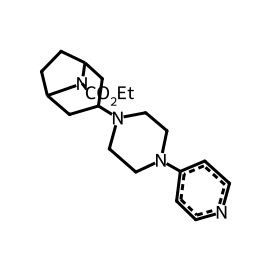 CCOC(=O)N1C2CCC1CC(N1CCN(c3ccncc3)CC1)C2